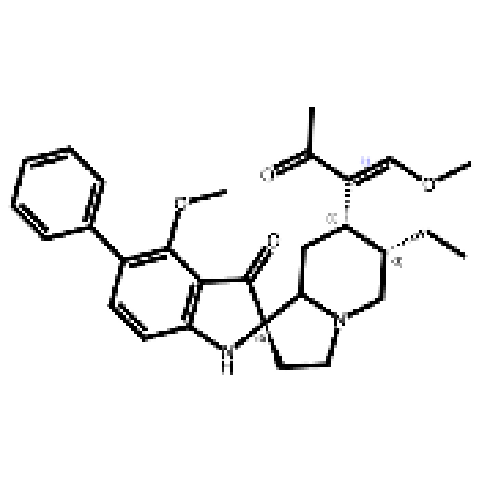 CC[C@@H]1CN2CC[C@]3(Nc4ccc(-c5ccccc5)c(OC)c4C3=O)C2C[C@@H]1/C(=C\OC)C(C)=O